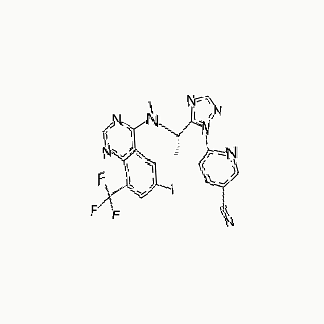 C[C@@H](c1ncnn1-c1ccc(C#N)cn1)N(C)c1ncnc2c(C(F)(F)F)cc(I)cc12